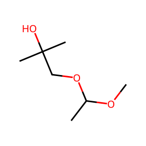 COC(C)OCC(C)(C)O